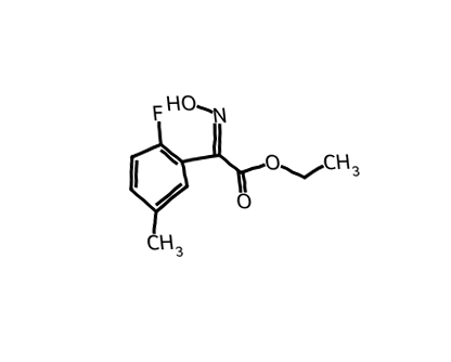 CCOC(=O)/C(=N/O)c1cc(C)ccc1F